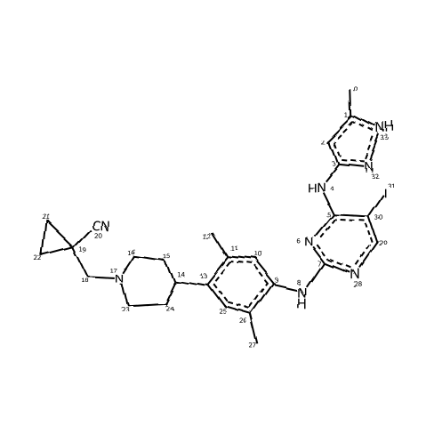 Cc1cc(Nc2nc(Nc3cc(C)c(C4CCN(CC5(C#N)CC5)CC4)cc3C)ncc2I)n[nH]1